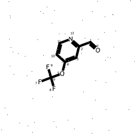 O=Cc1cc(OC(F)(F)F)ccn1